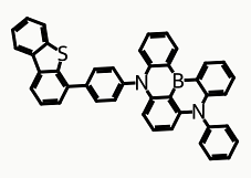 c1ccc(N2c3ccccc3B3c4ccccc4N(c4ccc(-c5cccc6c5sc5ccccc56)cc4)c4cccc2c43)cc1